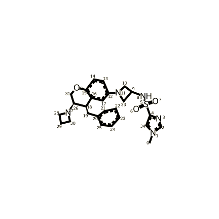 Cn1cnc(S(=O)(=O)NC2CN(c3ccc4c(c3)[C@@H](Cc3ccccc3)[C@@H](N3CCC3)CO4)C2)c1